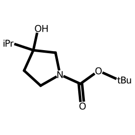 CC(C)C1(O)CCN(C(=O)OC(C)(C)C)C1